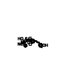 N#C/N=C(/NC[C@H](NC(=O)c1c(Cl)cc(CCCc2cccc(O)c2)cc1Cl)C(=O)O)N1CCCC1